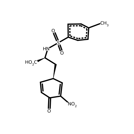 Cc1ccc(S(=O)(=O)N[C@@H](C[C@@H]2C=CC(=O)C([N+](=O)[O-])=C2)C(=O)O)cc1